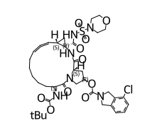 CC(C)(C)OC(=O)N[C@H]1CCCCCC=C=C[C@@H]2C[C@@]2(C(=O)NS(=O)(=O)N2CCOCC2)NC(=O)[C@@H]2C[C@@H](OC(=O)N3Cc4cccc(Cl)c4C3)CN2C1=O